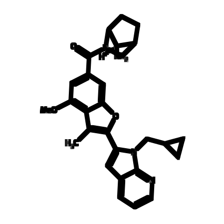 COc1cc(C(=O)N2CC3CCC2[C@@H]3N)cc2oc(-c3cc4cccnc4n3CC3CC3)c(C)c12